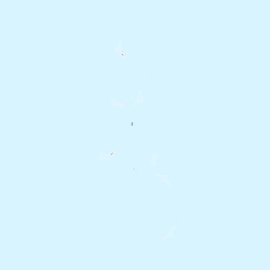 CCO[C@@H]1CC(OC(=O)N[C@@H](Cc2ccccc2)[C@H](O)CN2CCCCCCCCCOc3ccccc3COC2=O)CC1C